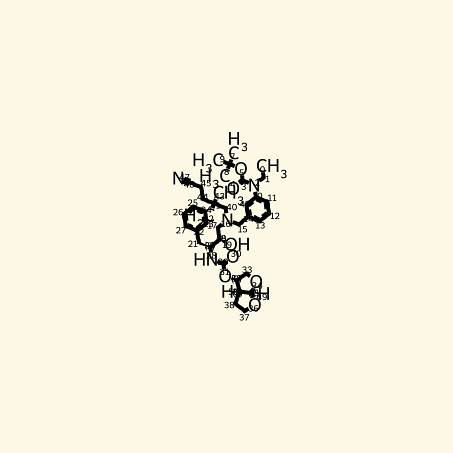 CCN(C(=O)OC(C)(C)C)c1cccc(CN(C[C@@H](O)[C@H](Cc2ccccc2)NC(=O)O[C@H]2CO[C@H]3OCC[C@H]32)CC(C)(C)CCC#N)c1